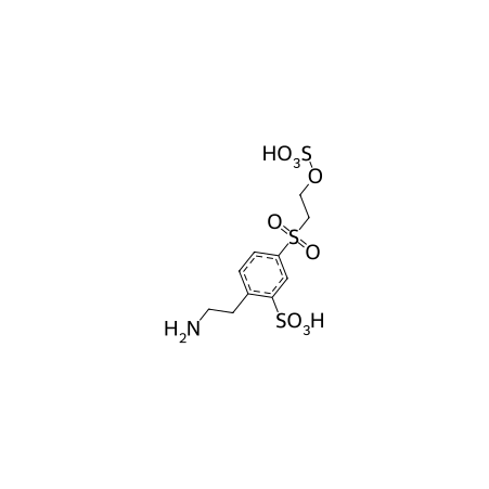 NCCc1ccc(S(=O)(=O)CCOS(=O)(=O)O)cc1S(=O)(=O)O